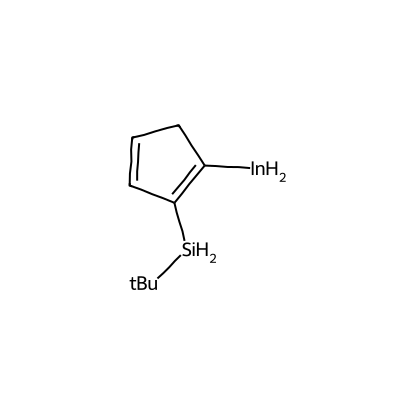 CC(C)(C)[SiH2]C1=[C]([InH2])CC=C1